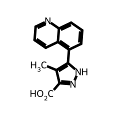 Cc1c(C(=O)O)n[nH]c1-c1cccc2ncccc12